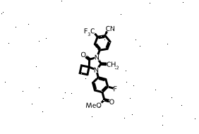 C=C1N(c2ccc(C#N)c(C(F)(F)F)c2)C(=O)C2(CCC2)N1c1ccc(C(=O)OC)c(F)c1